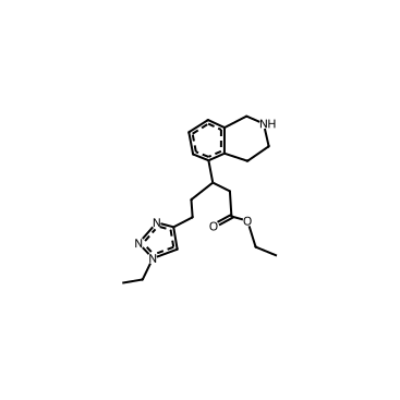 CCOC(=O)CC(CCc1cn(CC)nn1)c1cccc2c1CCNC2